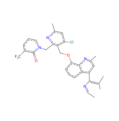 C/C=N\C(=C(C)C)c1cc(C)nc2c(OCc3c(Cl)cc(C)nc3Cn3cccc(C(F)(F)F)c3=O)cccc12